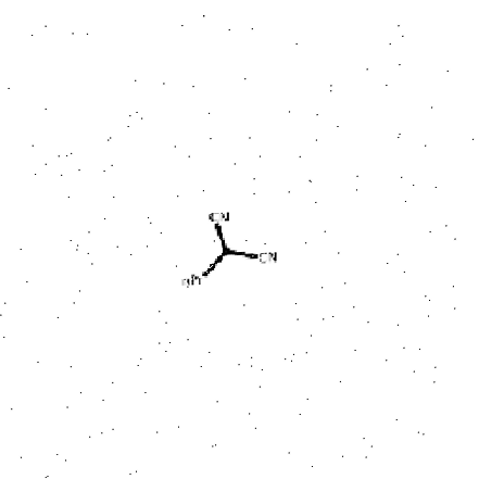 CCC[C](C#N)C#N